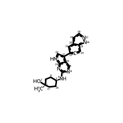 C[C@]1(O)CC[C@@H](Nc2ncc3c(-c4ccc5nnccc5c4)c[nH]c3n2)CC1